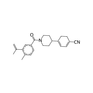 C=C(C)c1cc(C(=O)N2CCC(C3=CC=C(C#N)CC3)CC2)ccc1C